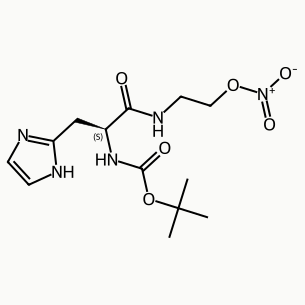 CC(C)(C)OC(=O)N[C@@H](Cc1ncc[nH]1)C(=O)NCCO[N+](=O)[O-]